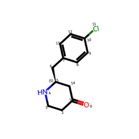 O=C1CCN[C@@H](Cc2ccc(Cl)cc2)C1